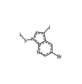 Brc1cnc2c(c1)c(I)cn2SI